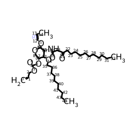 C=CCOC(=O)O[C@@H]1CO[C@H](O/C=C\C)[C@H](NC(=O)CC(=O)CCCCCCCCCCC)C1OCCCCCCCCCC